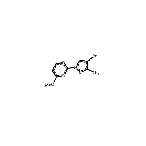 COc1ccnc(-n2cc(Br)c(C(F)(F)F)n2)n1